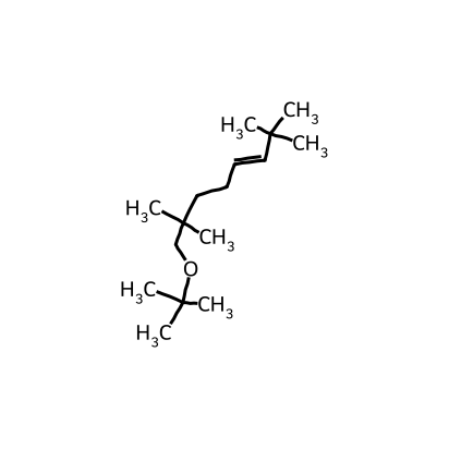 CC(C)(C)/C=C/CCC(C)(C)COC(C)(C)C